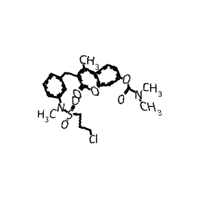 Cc1c(Cc2cccc(N(C)S(=O)(=O)CCCCl)c2)c(=O)oc2cc(OC(=O)N(C)C)ccc12